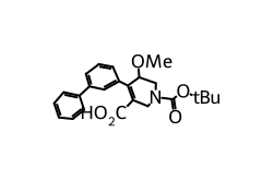 COC1CN(C(=O)OC(C)(C)C)CC(C(=O)O)=C1c1cccc(-c2ccccc2)c1